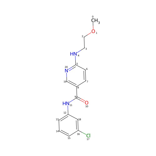 COCCNc1ccc(C(=O)Nc2cccc(Cl)c2)cn1